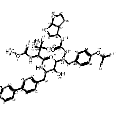 COC(=O)NC(C(=O)NC(Cc1ccc(-c2ccncc2)cc1)C(O)CN(Cc1ccc(OC(F)F)cc1)NC(=O)OC1COC2OCCC12)C(C)(C)C